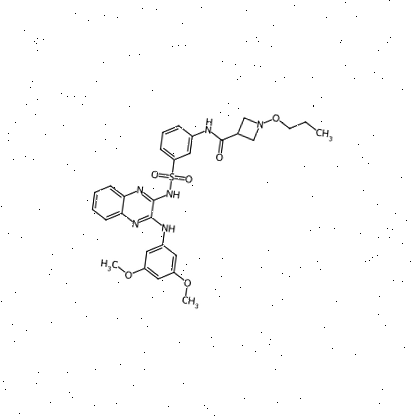 CCCON1CC(C(=O)Nc2cccc(S(=O)(=O)Nc3nc4ccccc4nc3Nc3cc(OC)cc(OC)c3)c2)C1